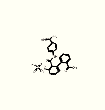 CS(=O)(=O)O.N=C(N)c1ccc(NC(=O)c2c(O)cccc2-c2ccccc2C(=O)O)cc1